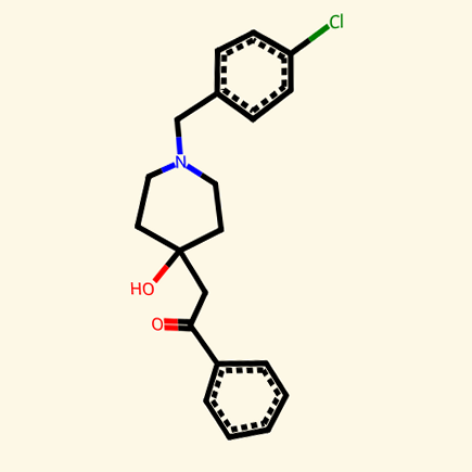 O=C(CC1(O)CCN(Cc2ccc(Cl)cc2)CC1)c1ccccc1